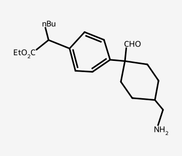 CCCCC(C(=O)OCC)c1ccc(C2(C=O)CCC(CN)CC2)cc1